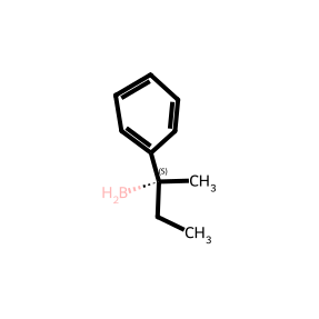 B[C@](C)(CC)c1ccccc1